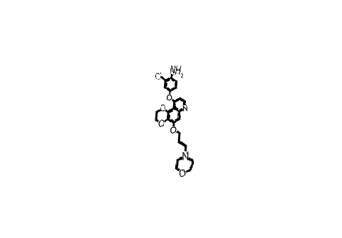 Nc1ccc(Oc2ccnc3cc(OCCCN4CCOCC4)c4c(c23)OCCO4)cc1Cl